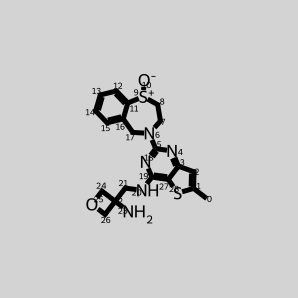 Cc1cc2nc(N3CC[S+]([O-])c4ccccc4C3)nc(NCC3(N)COC3)c2s1